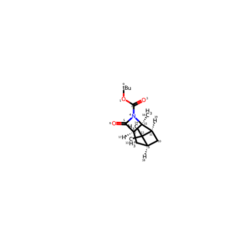 CC(C)(C)OC(=O)N1C(=O)[C@@H]2C[C@@H]3C[C@@H](C3(C)C)[C@@]21C